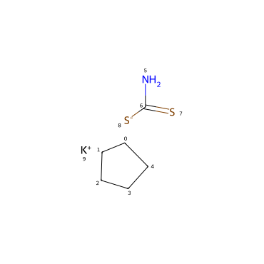 C1CCCC1.NC(=S)[S-].[K+]